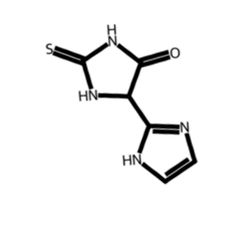 O=C1NC(=S)NC1c1ncc[nH]1